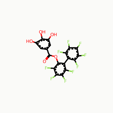 O=C(Oc1c(F)c(F)c(F)c(F)c1-c1c(F)c(F)c(F)c(F)c1F)c1cc(O)c(O)c(O)c1